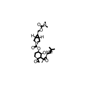 CO[C@H]1C([C@@]2(C)O[C@@H]2CC=C(C)C)[C@]2(CC[C@H]1OC(=O)N1C[C@@H]3[C@@H](COC(=O)N(C)C)[C@@H]3C1)CO2